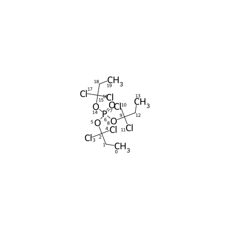 CCC(Cl)(Cl)OP(=O)(OC(Cl)(Cl)CC)OC(Cl)(Cl)CC